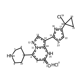 Cl.O=c1cc(C2CCNCC2)n2ncc(-c3nc(C4(Cl)CC4)cs3)c2[nH]1